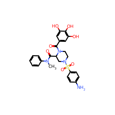 CN(C(=O)C1CN(S(=O)(=O)c2ccc(N)cc2)CCN1C(=O)c1cc(O)c(O)c(O)c1)c1ccccc1